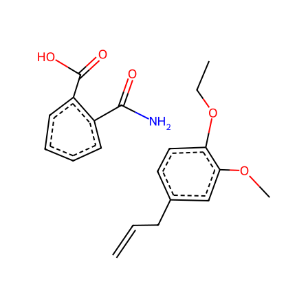 C=CCc1ccc(OCC)c(OC)c1.NC(=O)c1ccccc1C(=O)O